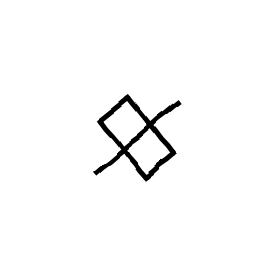 CC12CCC1(C)CC2